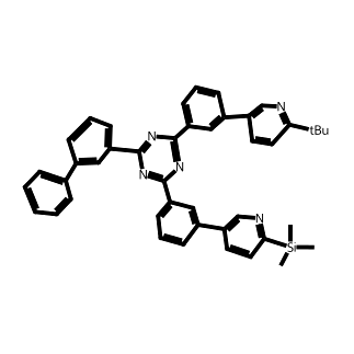 CC(C)(C)c1ccc(-c2cccc(-c3nc(-c4cccc(-c5ccccc5)c4)nc(-c4cccc(-c5ccc([Si](C)(C)C)nc5)c4)n3)c2)cn1